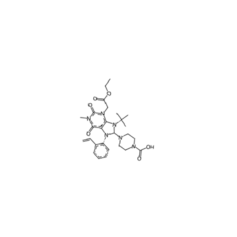 C=Cc1ccccc1N1c2c(n(CC(=O)OCC)c(=O)n(C)c2=O)N(C(C)(C)C)C1N1CCN(C(=O)O)CC1